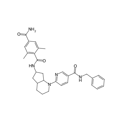 Cc1cc(C(N)=O)cc(C)c1C(=O)NC1CC2CCCN(c3ccc(C(=O)NCc4ccccc4)cn3)C2C1